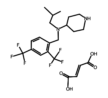 CC(C)CN(Cc1ccc(C(F)(F)F)cc1C(F)(F)F)C1CCNCC1.O=C(O)C=CC(=O)O